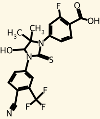 CC1(C)C(O)N(c2ccc(C#N)c(C(F)(F)F)c2)C(=S)N1c1ccc(C(=O)O)c(F)c1